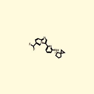 FC(F)c1ccc2ncc(-c3cccc(N[C@H]4CCCC45CC5)n3)n2c1